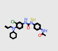 C=CCN(c1ccc(NC(=O)N(S)c2ccc(NC(C)=O)cc2)cc1Cl)C1CCCCC1